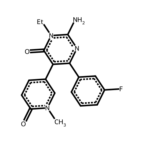 CCn1c(N)nc(-c2cccc(F)c2)c(-c2ccc(=O)n(C)c2)c1=O